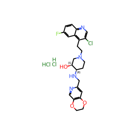 Cl.Cl.O[C@H]1CN(CCc2c(Cl)cnc3ccc(F)cc23)CC[C@H]1NCc1cc2c(cn1)OCCO2